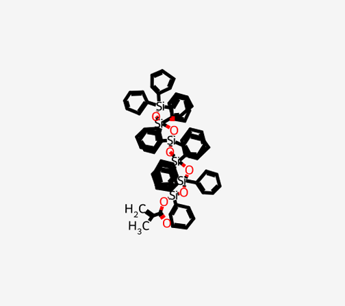 C=C(C)C(=O)O[Si](O[Si](O[Si](O[Si](O[Si](O[Si](c1ccccc1)(c1ccccc1)c1ccccc1)(c1ccccc1)c1ccccc1)(c1ccccc1)c1ccccc1)(c1ccccc1)c1ccccc1)(c1ccccc1)c1ccccc1)(c1ccccc1)c1ccccc1